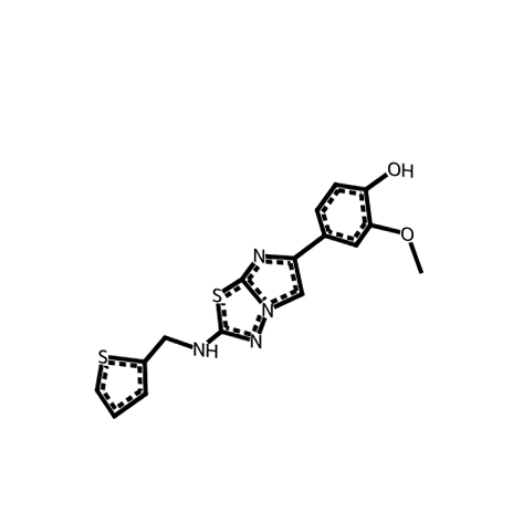 COc1cc(-c2cn3nc(NCc4cccs4)sc3n2)ccc1O